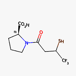 O=C(O)[C@@H]1CCCN1C(=O)CC(S)C(F)(F)F